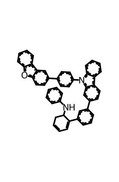 C1=CCC(Nc2ccccc2)C(c2cccc(-c3ccc4c5ccccc5n(-c5ccc(-c6ccc7oc8ccccc8c7c6)cc5)c4c3)c2)=C1